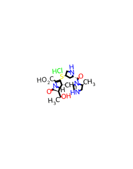 C[C@@H]1CNCCN1C(=O)[C@@H]1C[C@H](SC2=C(C(=O)O)N3C(=O)[C@H]([C@@H](C)O)[C@H]3[C@H]2C)CN1.Cl